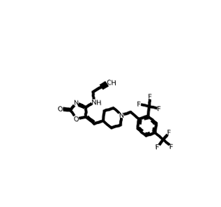 C#CCNC1=NC(=O)OC1=CC1CCN(Cc2ccc(C(F)(F)F)cc2C(F)(F)F)CC1